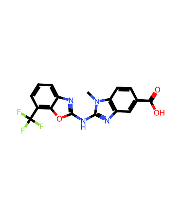 Cn1c(Nc2nc3cccc(C(F)(F)F)c3o2)nc2cc(C(=O)O)ccc21